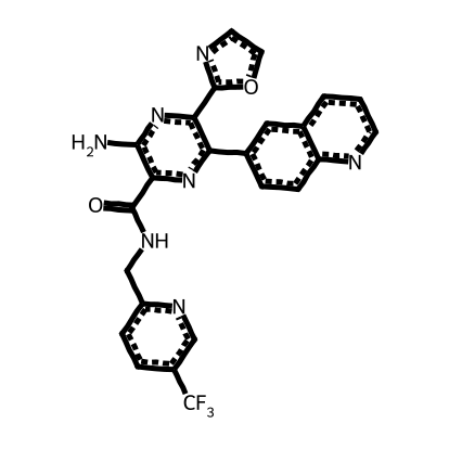 Nc1nc(-c2ncco2)c(-c2ccc3ncccc3c2)nc1C(=O)NCc1ccc(C(F)(F)F)cn1